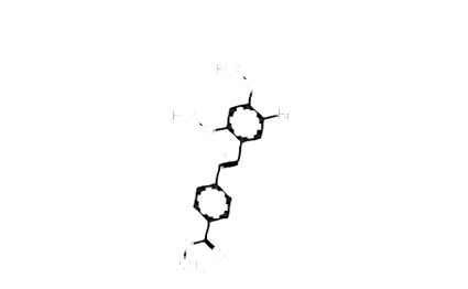 COC(=O)c1ccc(/C=C/c2cc(Br)c(OC)cc2OC)cc1